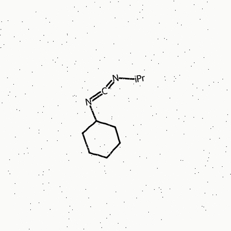 CC(C)N=C=NC1CCCCC1